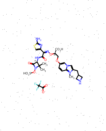 C[n+]1c(CC2CNC2)cn2cc(OC[C@@H](O/N=C(\C(=O)N[C@@H]3C(=O)N(OS(=O)(=O)O)C3(C)C)c3csc(N)n3)C(=O)O)ccc21.O=C([O-])C(F)(F)F